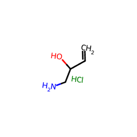 C=CC(O)CN.Cl